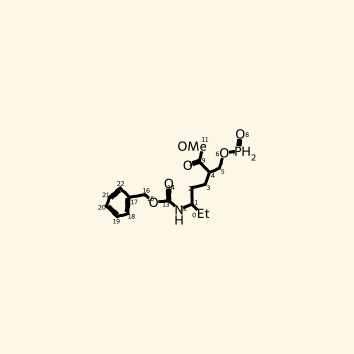 CCC(CCC(CO[PH2]=O)C(=O)OC)NC(=O)OCc1ccccc1